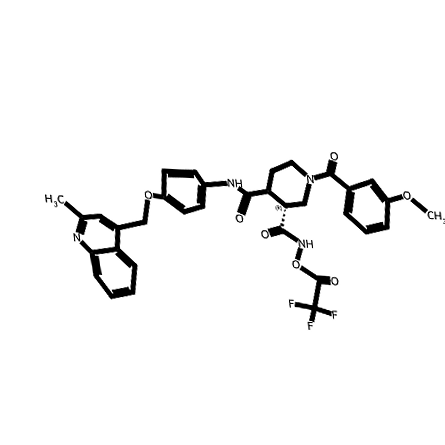 COc1cccc(C(=O)N2CCC(C(=O)Nc3ccc(OCc4cc(C)nc5ccccc45)cc3)[C@@H](C(=O)NOC(=O)C(F)(F)F)C2)c1